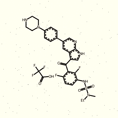 CCN(C)S(=O)(=O)Nc1ccc(F)c(C(=O)c2c[nH]c3ncc(-c4ccc(N5CCNCC5)cc4)cc23)c1F.O=C(O)C(F)(F)F